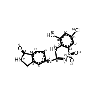 O=C1NCc2cc(NC3=NS(=O)(=O)c4cc(Cl)cc(O)c4N3)ccc21